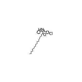 CCCCCCCCCCCCCCCCCC(=O)c1c(-c2ccc(Cl)cc2)c[nH]c1-c1ccccc1